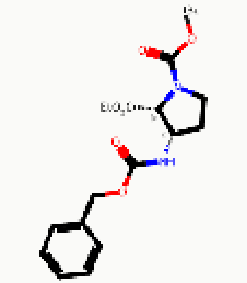 CCOC(=O)[C@H]1[C@@H](NC(=O)OCc2ccccc2)CCN1C(=O)OC(C)(C)C